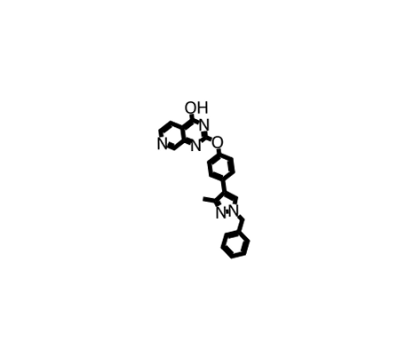 Cc1nn(Cc2ccccc2)cc1-c1ccc(Oc2nc(O)c3ccncc3n2)cc1